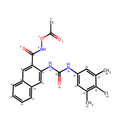 CCC(=O)ONC(=O)c1cc2ccccc2cc1NC(=O)Nc1cc(C)c(CC)c(C)c1